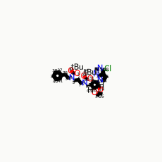 CC(C)(C)OC(=O)N(CCCN(C[C@H]1C[C@@H](n2ccc3c(Cl)ncnc32)[C@@H]2OC(C)(C)O[C@H]12)C(=O)OC(C)(C)C)CCc1ccccc1